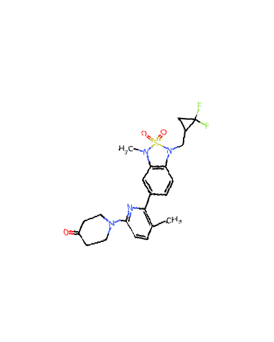 Cc1ccc(N2CCC(=O)CC2)nc1-c1ccc2c(c1)N(C)S(=O)(=O)N2CC1CC1(F)F